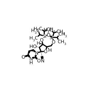 CC(C)[Si]1(C(C)C)OC[C@H]2O[C@@](C#N)(n3ccc(=O)[nH]c3=O)[C@H](O)[C@@H]2O[Si](C(C)C)(C(C)C)O1